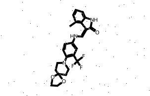 Cc1cccc2c1/C(=C\Nc1ccc(N3CCC4(CC3)OCCO4)c(C(F)(F)F)c1)C(=O)N2